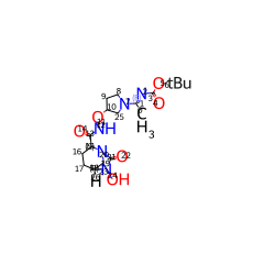 C/C(=N\C(=O)OC(C)(C)C)N1CCC(ONC(=O)[C@@H]2CC[C@@H]3CN2C(=O)N3O)C1